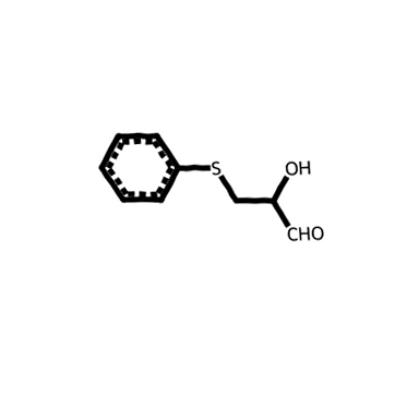 O=CC(O)CSc1ccccc1